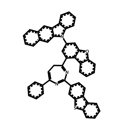 C1=C(c2ccccc2)N=C(c2ccc3c(c2)sc2ccccc23)N=C(c2cc(-n3c4ccccc4c4cc5ccccc5cc43)cc3oc4ccccc4c23)C1